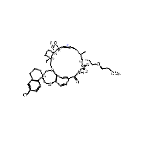 COCCOCC[C@H]1C(C)C/C=C\[C@H](O)[C@@H]2CC[C@H]2CN2C[C@@]3(CCCc4cc(Cl)ccc43)COc3ccc(cc32)C(=O)NS1(=O)=O